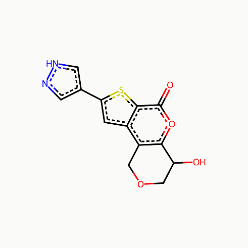 O=c1oc2c(c3cc(-c4cn[nH]c4)sc13)COCC2O